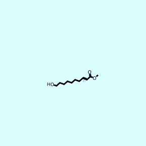 COC(=O)/C=C/CCCCCCCO